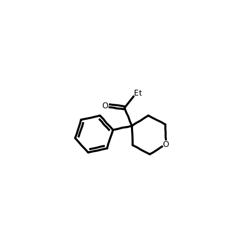 CCC(=O)C1(c2ccccc2)CCOCC1